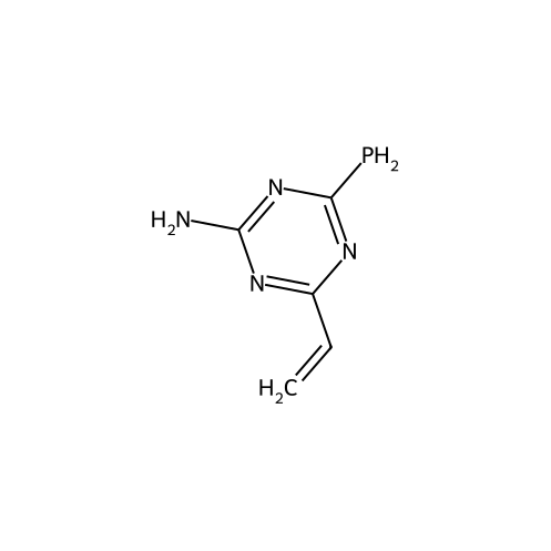 C=Cc1nc(N)nc(P)n1